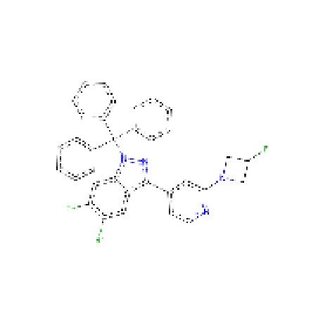 Fc1cc2c(cc1Br)c(-c1ccnc(N3CC(F)C3)c1)nn2C(c1ccccc1)(c1ccccc1)c1ccccc1